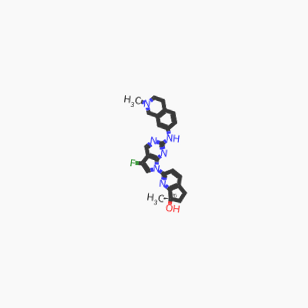 CN1CCc2ccc(Nc3ncc4c(F)cn(-c5ccc6c(n5)[C@](C)(O)CC6)c4n3)cc2C1